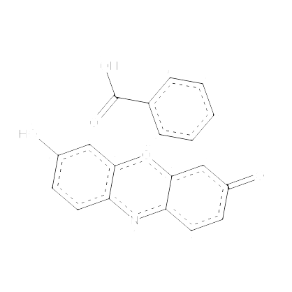 O=C(O)c1ccccc1.O=c1ccc2nc3ccc(O)cc3oc-2c1